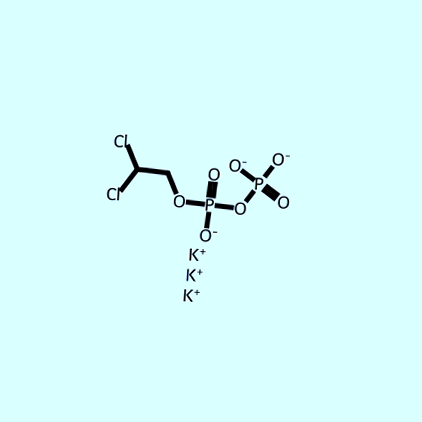 O=P([O-])([O-])OP(=O)([O-])OCC(Cl)Cl.[K+].[K+].[K+]